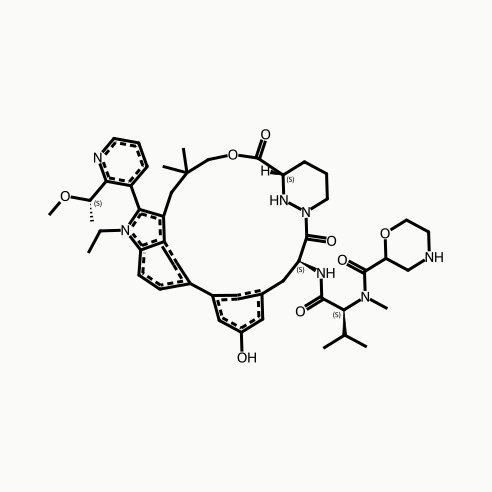 CCn1c(-c2cccnc2[C@H](C)OC)c2c3cc(ccc31)-c1cc(O)cc(c1)C[C@H](NC(=O)[C@H](C(C)C)N(C)C(=O)C1CNCCO1)C(=O)N1CCC[C@H](N1)C(=O)OCC(C)(C)C2